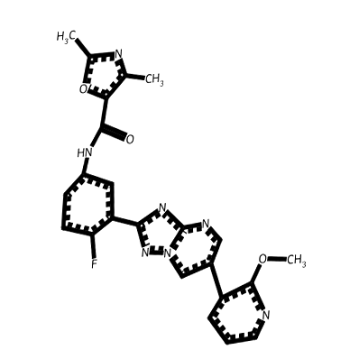 COc1ncccc1-c1cnc2nc(-c3cc(NC(=O)c4oc(C)nc4C)ccc3F)nn2c1